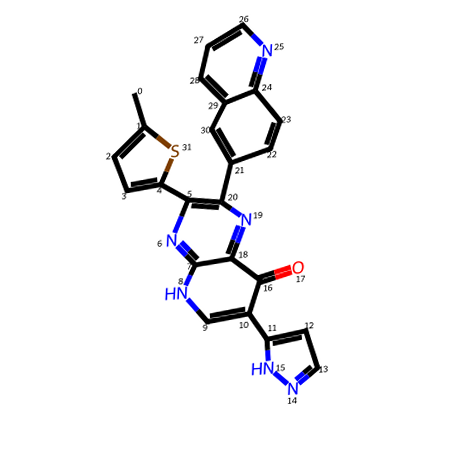 Cc1ccc(-c2nc3[nH]cc(-c4ccn[nH]4)c(=O)c3nc2-c2ccc3ncccc3c2)s1